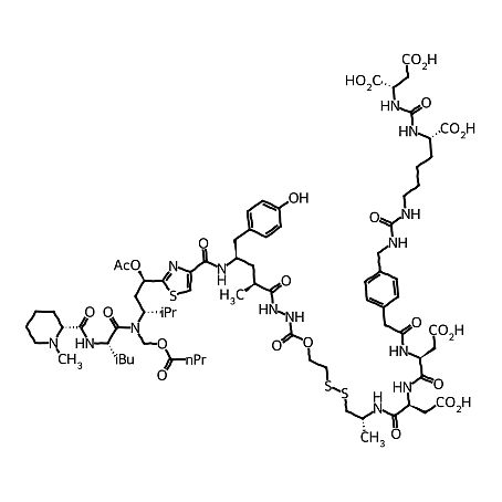 CCCC(=O)OCN(C(=O)[C@@H](NC(=O)[C@H]1CCCCN1C)C(C)CC)[C@H](C[C@@H](OC(C)=O)c1nc(C(=O)N[C@@H](Cc2ccc(O)cc2)C[C@H](C)C(=O)NNC(=O)OCCSSC[C@@H](C)NC(=O)[C@H](CC(=O)O)NC(=O)[C@H](CC(=O)O)NC(=O)Cc2ccc(CNC(=O)NCCCC[C@H](NC(=O)N[C@@H](CC(=O)O)C(=O)O)C(=O)O)cc2)cs1)C(C)C